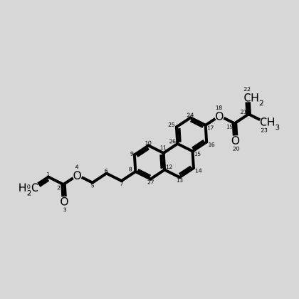 C=CC(=O)OCCCc1ccc2c(ccc3cc(OC(=O)C(=C)C)ccc32)c1